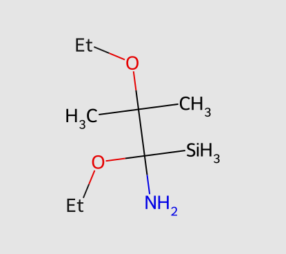 CCOC(C)(C)C(N)([SiH3])OCC